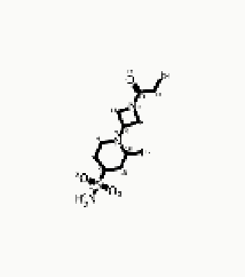 NS(=O)(=O)C1CCN(C2CN(C(=O)CI)C2)C(I)C1